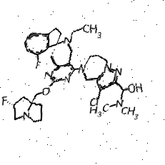 CCN1Cc2c(nc(OC[C@@]34CCCN3C[C@H](F)C4)nc2N2CCCn3nc(C(O)N(C)C)c(Cl)c3C2)C[C@]12CCc1cccc(F)c12